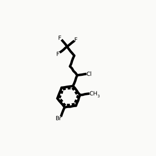 Cc1cc(Br)ccc1C(Cl)CCC(F)(F)F